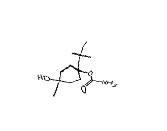 CC1(O)CCC(OC(N)=O)(C(C)(C)C)CC1